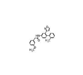 COc1cccc(CC(=O)Nc2ccc(-c3ccccc3C)c(-c3ccon3)c2)c1